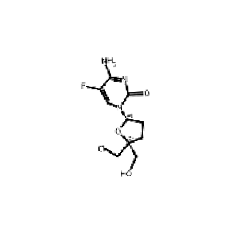 Nc1nc(=O)n([C@H]2CC[C@](CO)(CCl)O2)cc1F